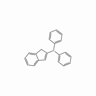 C1=C(P(c2ccccc2)c2ccccc2)Cc2ccccc21